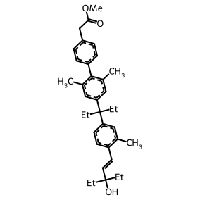 CCC(O)(C=Cc1ccc(C(CC)(CC)c2cc(C)c(-c3ccc(CC(=O)OC)cc3)c(C)c2)cc1C)CC